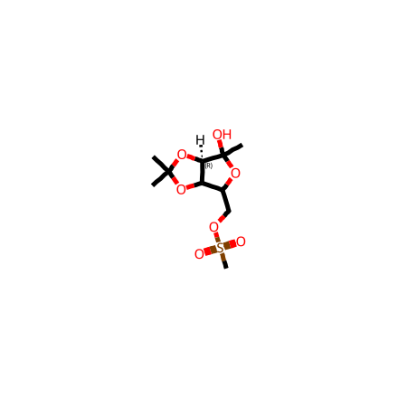 CC1(C)OC2C(COS(C)(=O)=O)OC(C)(O)[C@@H]2O1